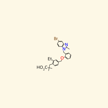 CCc1cc(COc2ccccc2Cn2c(C)nc3cc(Br)ccc32)ccc1CC(C)(C)C(=O)O